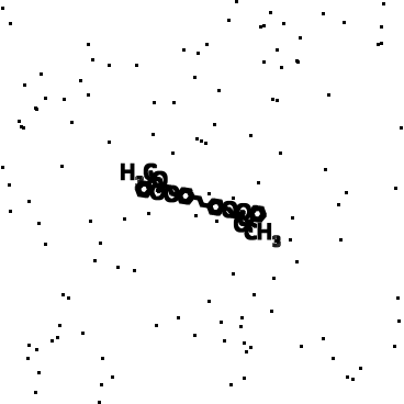 CC(OC(=O)COc1ccc(CCc2ccc(OCC(=O)OC(C)c3ccccc3)cc2)cc1)c1ccccc1